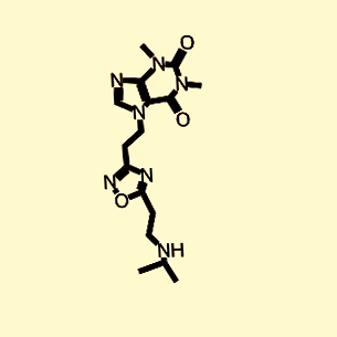 CC(C)NCCc1nc(CCn2cnc3c2c(=O)n(C)c(=O)n3C)no1